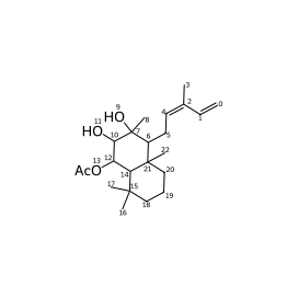 C=C/C(C)=C\CC1C(C)(O)C(O)C(OC(C)=O)C2C(C)(C)CCCC21C